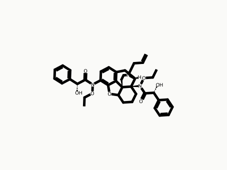 C=CCN1CC[C@]23c4c5ccc(N(OCC)C(=O)[C@H](O)c6ccccc6)c4OC2CCC[C@@]3(N(OCC)C(=O)[C@H](O)c2ccccc2)[C@H]1C5